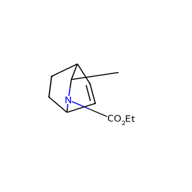 CCOC(=O)N1C2C=CC(CC2)C1C